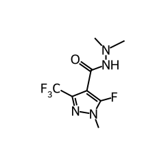 CN(C)NC(=O)c1c(C(F)(F)F)nn(C)c1F